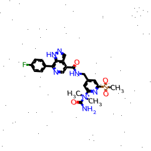 C[N+](C)(C(N)=O)c1cc(CNC(=O)c2cnc(-c3ccc(F)cc3)c3[nH]ncc23)cc(S(C)(=O)=O)n1